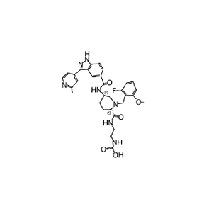 COc1cccc(F)c1CN1C[C@H](NC(=O)c2ccc3[nH]nc(-c4ccnc(C)c4)c3c2)CC[C@H]1C(=O)NCCNC(=O)O